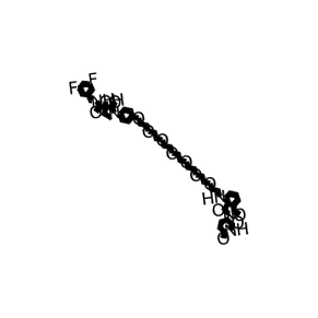 O=C1CC[C@@H](N2C(=O)c3cccc(NCCOCCOCCOCCOCCOCCOCCOc4ccc(N5CCC(O)(C(=O)NCc6cc(F)cc(F)c6)C5=O)cc4)c3C2=O)C(=O)N1